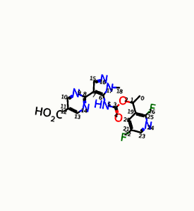 CC(OC(=O)Nc1c(-c2ncc(C(=O)O)cn2)cnn1C)c1cc(F)cnc1F